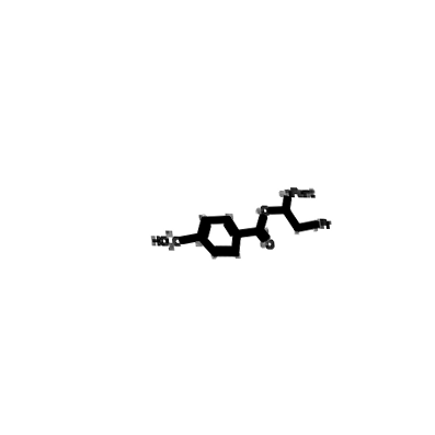 CCCCCC(CC(C)C)OC(=O)c1ccc(C(=O)O)cc1